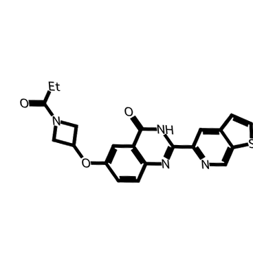 CCC(=O)N1CC(Oc2ccc3nc(-c4cc5ccsc5cn4)[nH]c(=O)c3c2)C1